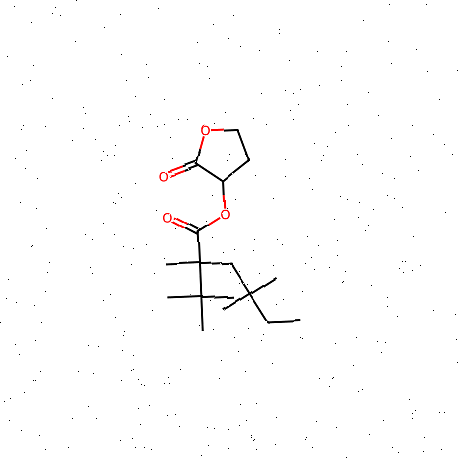 CCC(C)(C)CC(C)(C(=O)OC1CCOC1=O)C(C)(C)C